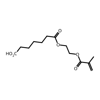 C=C(C)C(=O)OCCOC(=O)CCCCCC(=O)O